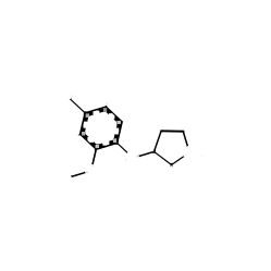 COc1cc(C)ccc1OC1CCOC1